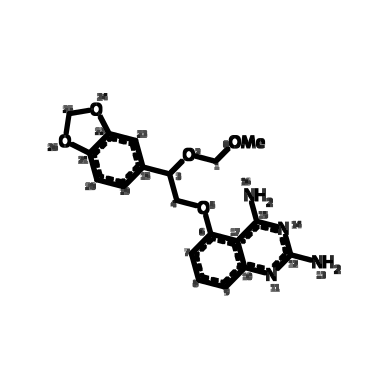 COCOC(COc1cccc2nc(N)nc(N)c12)c1ccc2c(c1)OCO2